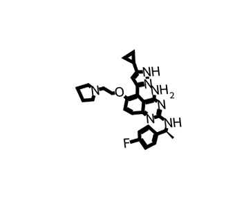 C[C@H](Nc1nc(N)c2c(-c3cc(C4CC4)[nH]n3)c(OCCN3CCCC3)ccc2n1)c1ccc(F)cc1